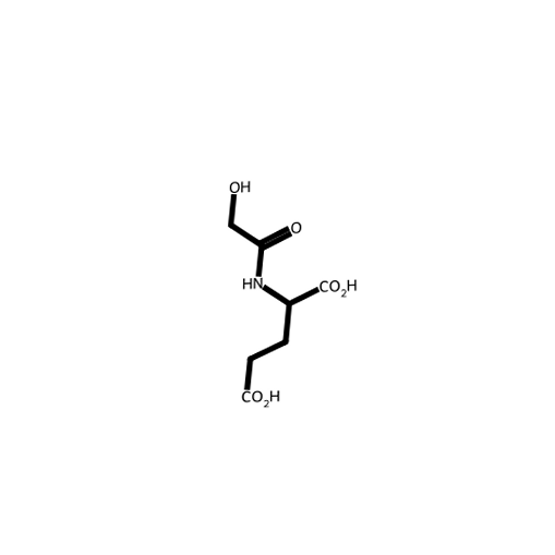 O=C(O)CCC(NC(=O)CO)C(=O)O